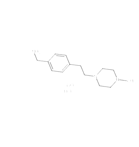 CN1CCN(CCc2ccc(CN)cc2)CC1.Cl.Cl